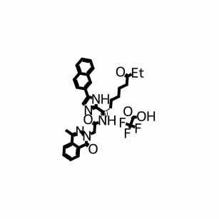 CCC(=O)CCCCC[C@H](NC(=O)Cn1nc(C)c2ccccc2c1=O)c1ncc(-c2ccc3ccccc3c2)[nH]1.O=C(O)C(F)(F)F